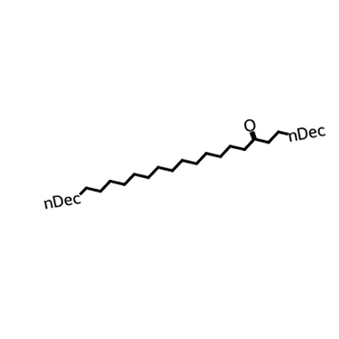 CCCCCCCCCCCCCCCCCCCCCCCCC(=O)CCCCCCCCCCCC